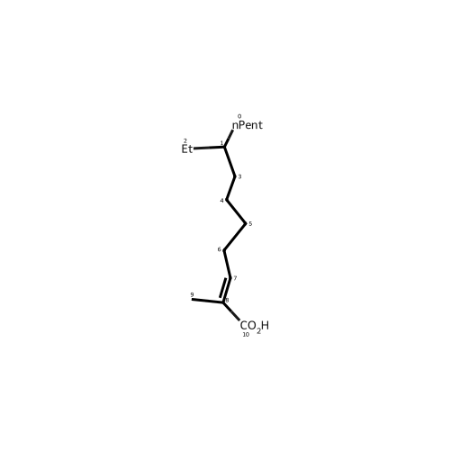 CCCCCC(CC)CCCCC=C(C)C(=O)O